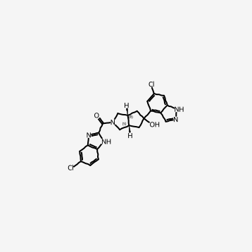 O=C(c1nc2cc(Cl)ccc2[nH]1)N1C[C@@H]2CC(O)(c3cc(Cl)cc4[nH]ncc34)C[C@@H]2C1